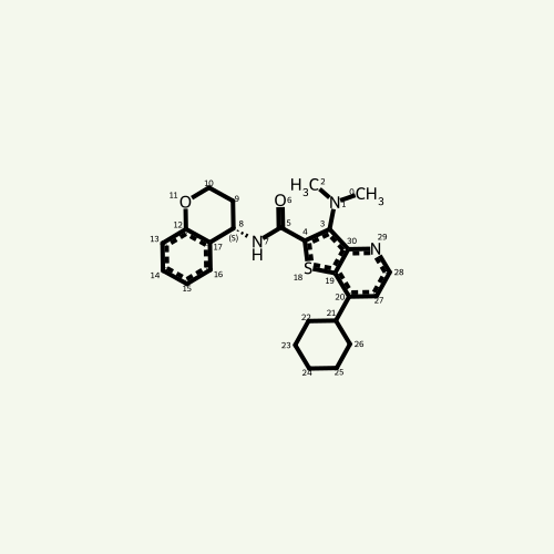 CN(C)c1c(C(=O)N[C@H]2CCOc3ccccc32)sc2c(C3CCCCC3)ccnc12